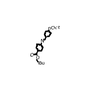 CCCCCCCCc1ccc(C=Nc2ccc(C(=O)OCC(C)CC)cc2)cc1